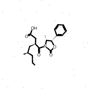 CCC[C@@H](C)C[C@@H](CC(=O)O)C(=O)N1C(=O)O[C@@H](c2ccccc2)[C@H]1C